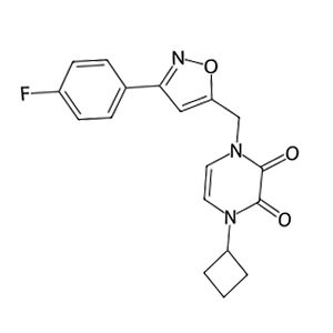 O=c1c(=O)n(C2CCC2)ccn1Cc1cc(-c2ccc(F)cc2)no1